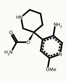 COc1cc([C@@]2(OC(N)=O)CCCNC2)c(N)cn1